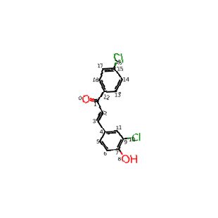 O=C(C=Cc1ccc(O)c(Cl)c1)c1ccc(Cl)cc1